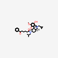 COc1cc(O)c2c3c1O[C@H]1[C@H](N(CC(C)C)C(=O)CCCCC(=O)c4ccccc4)CC[C@H]4[C@@H](C2)N(CC2CC2)CC[C@@]341